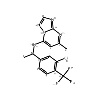 Cc1cc(NC(C)c2ccc(C(F)(F)F)c(Cl)c2)n2ncnc2n1